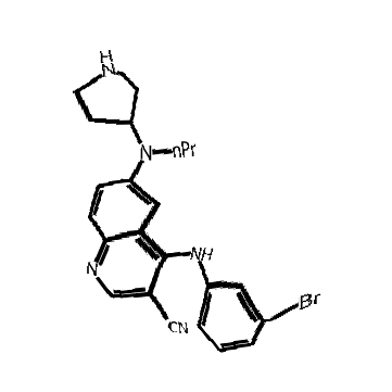 CCCN(c1ccc2ncc(C#N)c(Nc3cccc(Br)c3)c2c1)C1CCNC1